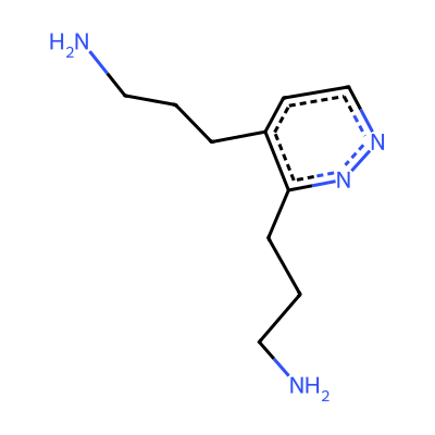 NCCCc1ccnnc1CCCN